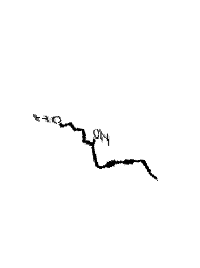 CC=CC#CC#CCC(O)C=CCCCO